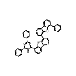 c1ccc(C2=NC(c3ccccc3)NC(c3cccc4c3sc3c(-c5cccc6c5oc5c(-c7ccccc7)cccc56)cccc34)=N2)cc1